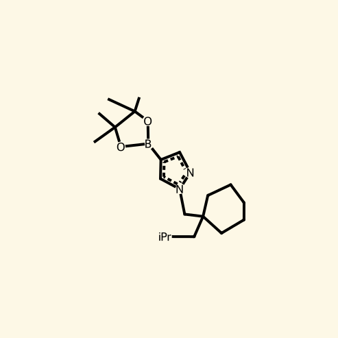 CC(C)CC1(Cn2cc(B3OC(C)(C)C(C)(C)O3)cn2)CCCCC1